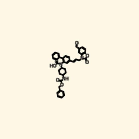 O=Cc1ccc2oc(=O)n(CC=Cc3ccc(-c4ccccc4)c(N(C(=O)O)C4CCC(NC(=O)OCc5ccccc5)CC4)c3)c2c1